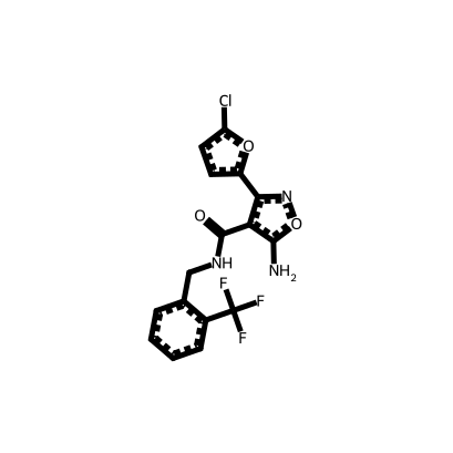 Nc1onc(-c2ccc(Cl)o2)c1C(=O)NCc1ccccc1C(F)(F)F